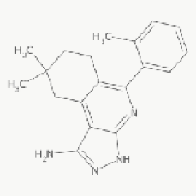 Cc1ccccc1-c1nc2[nH]nc(N)c2c2c1CCC(C)(C)C2